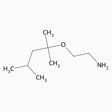 CC(C)CC(C)(C)OCCN